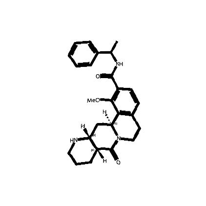 COc1c(C(=O)NC(C)c2ccccc2)ccc2c1[C@@H]1C[C@H]3NCCC[C@H]3C(=O)N1CC2